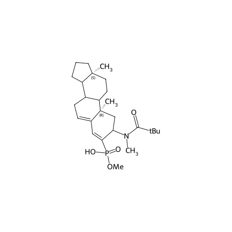 COP(=O)(O)C1=CC2=CCC3C4CCC[C@@]4(C)CCC3[C@@]2(C)CC1N(C)C(=O)C(C)(C)C